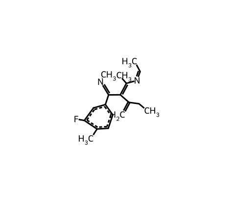 C=C(CC)C(/C(=N\C)c1ccc(C)c(F)c1)=C(C)\N=C/C